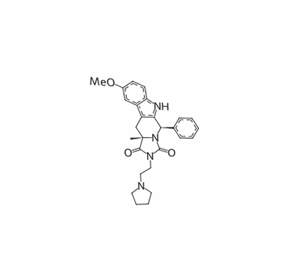 COc1ccc2[nH]c3c(c2c1)C[C@@]1(C)C(=O)N(CCN2CCCC2)C(=O)N1[C@@H]3c1ccccc1